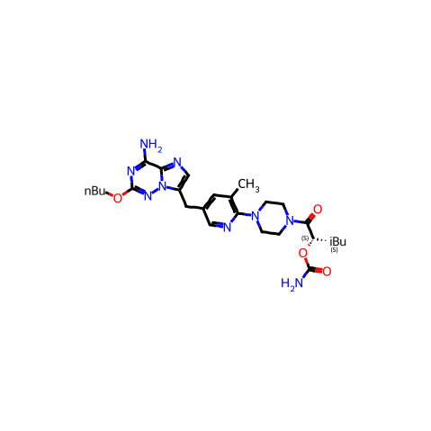 CCCCOc1nc(N)c2ncc(Cc3cnc(N4CCN(C(=O)[C@@H](OC(N)=O)[C@@H](C)CC)CC4)c(C)c3)n2n1